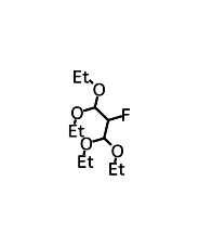 CCOC(OCC)C(F)C(OCC)OCC